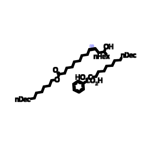 CCCCCCCCCCCCCCCCCC(=O)O.CCCCCCCCCCCCCCCCOC(=O)CCCCCCC/C=C\CC(O)CCCCCC.O=C(O)c1ccccc1